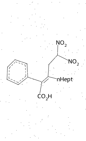 CCCCCCCC(CC([N+](=O)[O-])[N+](=O)[O-])=C(C(=O)O)c1ccccc1